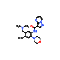 CN(C)Cc1cc(NC(=O)c2cnn3cccnc23)c(N2CCOCC2)cc1C=O